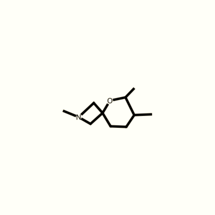 CC1CCC2(CN(C)C2)OC1C